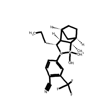 CCC[C@@H]1[C@H]2[C@H]3CC[C@H](C3)[C@@]2(C)S(O)(O)N1c1ccc(C#N)c(C(F)(F)F)c1